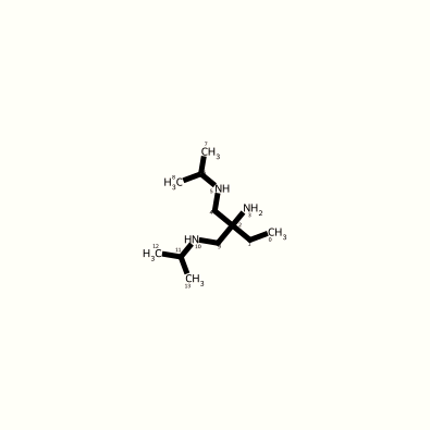 CCC(N)(CNC(C)C)CNC(C)C